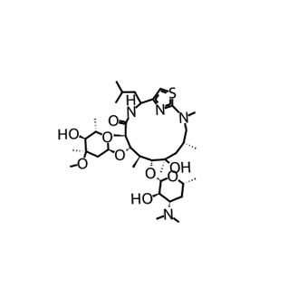 CO[C@]1(C)C[C@H](O[C@H]2[C@H](C)[C@@H](O[C@@H]3O[C@H](C)C[C@H](N(C)C)[C@H]3O)[C@](C)(O)C[C@@H](C)CN(C)c3nc(cs3)C(CC(C)C)NC(=O)[C@@H]2C)O[C@@H](C)[C@@H]1O